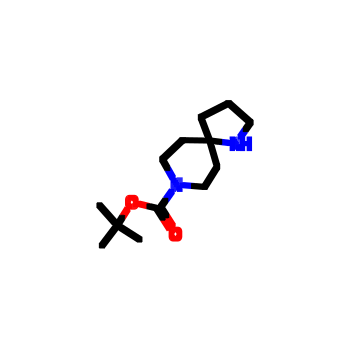 CC(C)(C)OC(=O)N1CCC2(CCCN2)CC1